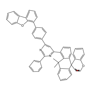 CC1(C)c2ccccc2C2(c3ccccc3Oc3ccccc32)c2cccc(-c3cc(-c4ccc(-c5cccc6c5oc5ccccc56)cc4)nc(-c4ccccc4)n3)c21